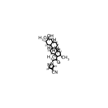 C[C@@H]1C[C@H]2[C@@H]3CC[C@H]4C[C@](C)(O)CC[C@@H]4[C@H]3CC[C@]2(C)C1C(=O)Cn1cc(C#N)cn1